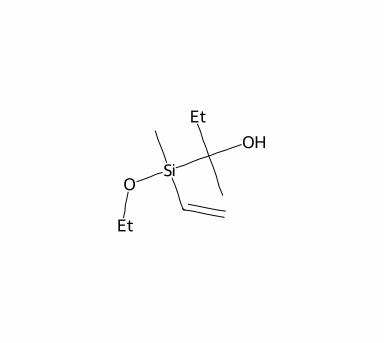 C=C[Si](C)(OCC)C(C)(O)CC